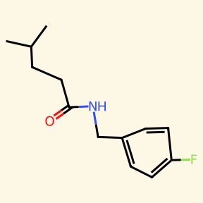 CC(C)CCC(=O)NCc1ccc(F)cc1